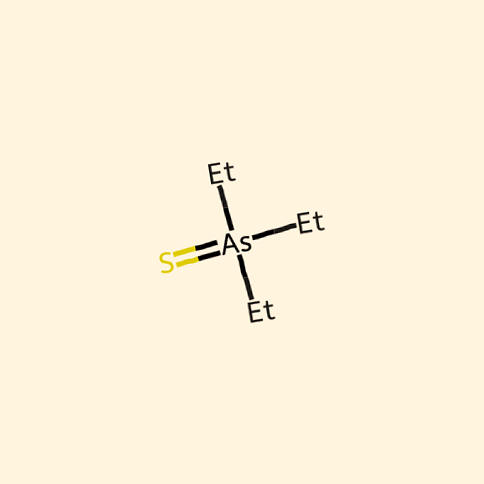 CC[As](=S)(CC)CC